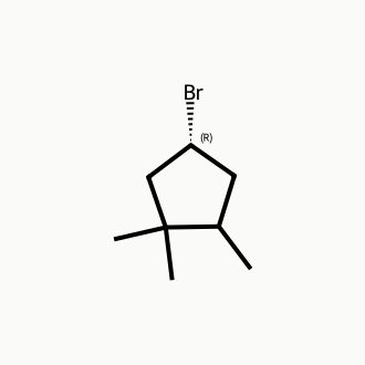 CC1C[C@@H](Br)CC1(C)C